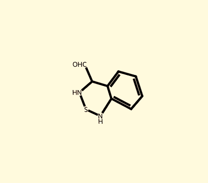 O=CC1NSNc2ccccc21